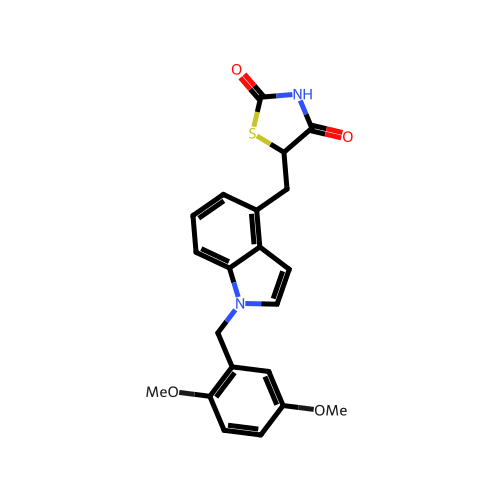 COc1ccc(OC)c(Cn2ccc3c(CC4SC(=O)NC4=O)cccc32)c1